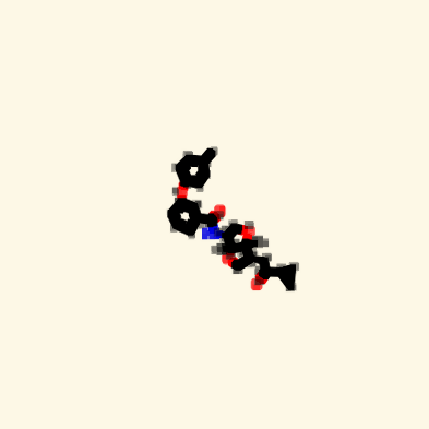 Cc1ccc(Oc2cccc(C(=O)N[C@H]3CO[C@@H]4[C@@H](CC(=O)C5CC5)CO[C@@H]43)c2)cc1